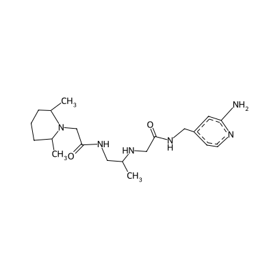 CC(CNC(=O)CN1C(C)CCCC1C)NCC(=O)NCc1ccnc(N)c1